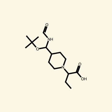 CCC(C(=O)O)N1CCC(C(NC=O)OC(C)(C)C)CC1